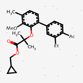 CCc1cc(-c2ccc(C)c(OC)c2OC(C)(C)C(=O)OCC2CC2)ccc1C(C)=O